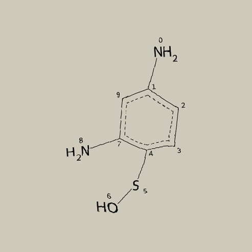 Nc1ccc(SO)c(N)c1